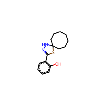 Oc1ccccc1C1=NNC2(CCCCCCC2)S1